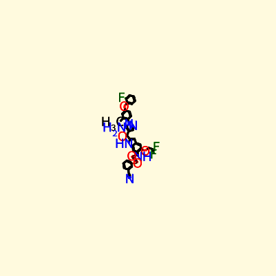 Cc1cc(Oc2ccccc2F)ccc1-n1ncc(C(=O)c2cc3cc(OCC(F)F)c(NS(=O)(=O)c4cccc(C#N)c4)cc3[nH]2)c1N